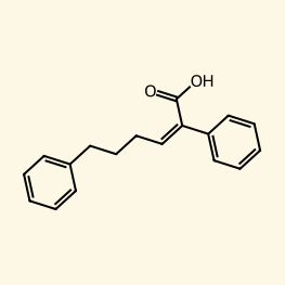 O=C(O)C(=CCCCc1ccccc1)c1ccccc1